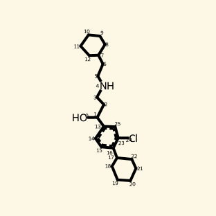 OC(CCNCCC1CCCCC1)c1ccc(C2CCCCC2)c(Cl)c1